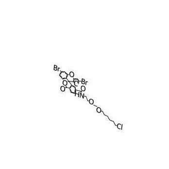 O=C(NCCOCCOCCCCCCCl)c1ccc2c(c1)C1(OC2=O)c2ccc(Br)cc2Oc2cc(Br)ccc21